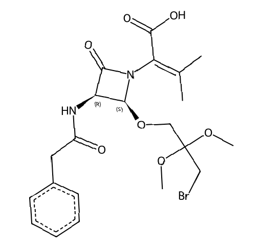 COC(CBr)(CO[C@H]1[C@@H](NC(=O)Cc2ccccc2)C(=O)N1C(C(=O)O)=C(C)C)OC